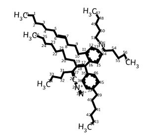 CCCCCCC=CCCCc1ccccc1C(=C(CCCCCCCC)C(=C=[N+]=[N-])CCCC)c1ccc(CCCCCC)cc1.CCCC[CH2][Ni][CH2]CCCC